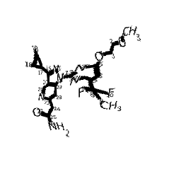 COCCOc1cc(C(C)(F)F)nc(-n2nc(C3CC3)c3cnc(CC(N)=O)cc32)n1